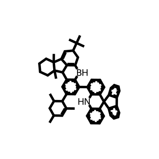 CC1=CC(C)CC(C)C1c1cc(-c2cccc3c2Nc2ccccc2C32c3ccccc3-c3ccccc32)c2c(c1)C1C3=C(B2)CC(C(C)(C)C)C=C3C2(C)CCCCC12C